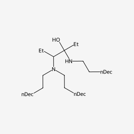 CCCCCCCCCCCCNC(O)(CC)C(CC)N(CCCCCCCCCCCC)CCCCCCCCCCCC